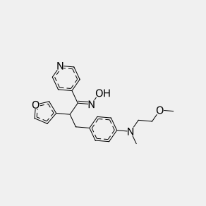 COCCN(C)c1ccc(CC(C(=NO)c2ccncc2)c2ccoc2)cc1